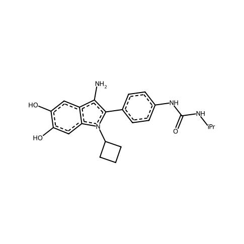 CC(C)NC(=O)Nc1ccc(-c2c(N)c3cc(O)c(O)cc3n2C2CCC2)cc1